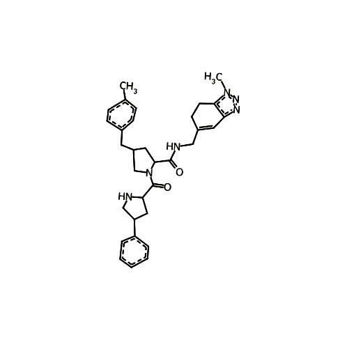 Cc1ccc(CC2CC(C(=O)NCC3=Cc4nnn(C)c4CC3)N(C(=O)C3CC(c4ccccc4)CN3)C2)cc1